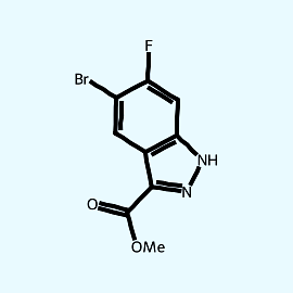 COC(=O)c1n[nH]c2cc(F)c(Br)cc12